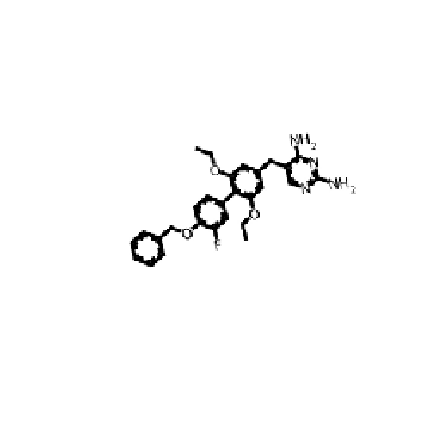 CCOc1cc(Cc2cnc(N)nc2N)cc(OCC)c1-c1ccc(OCc2ccccc2)c(F)c1